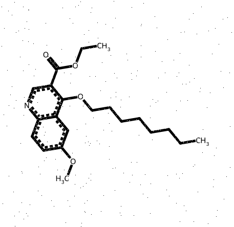 CCCCCCCCOc1c(C(=O)OCC)cnc2ccc(OC)cc12